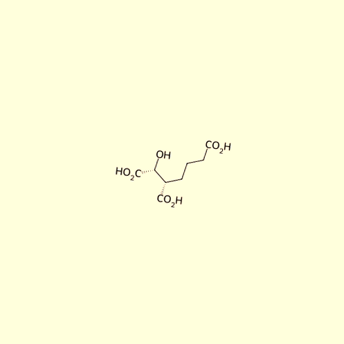 O=C(O)CCC[C@H](C(=O)O)[C@@H](O)C(=O)O